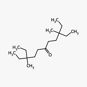 CCC(C)(CC)CCC(=O)CCC(C)(CC)CC